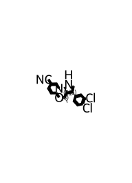 C[C@H](Oc1ccc(C#N)cn1)[C@H]1CNC[C@@H]1c1ccc(Cl)c(Cl)c1